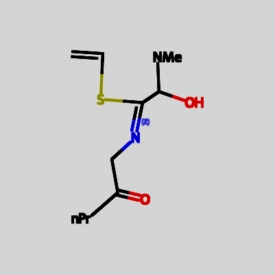 C=CS/C(=N\CC(=O)CCC)C(O)NC